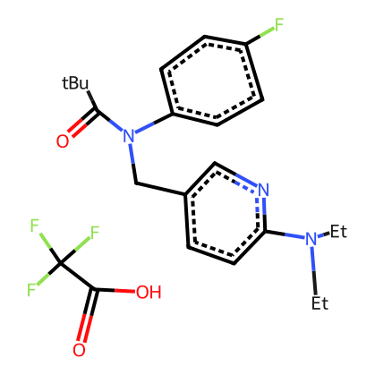 CCN(CC)c1ccc(CN(C(=O)C(C)(C)C)c2ccc(F)cc2)cn1.O=C(O)C(F)(F)F